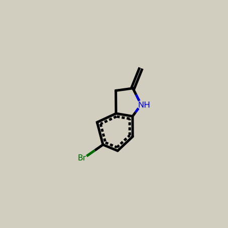 C=C1Cc2cc(Br)ccc2N1